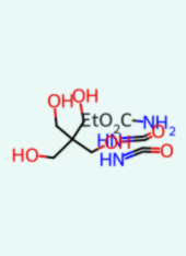 CCOC(N)=O.N=C=O.N=C=O.OCC(CO)(CO)CO